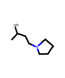 CCCC(C)CCN1CCCC1